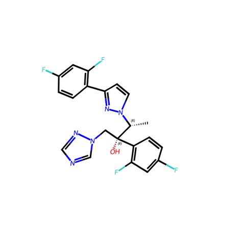 C[C@@H](n1ccc(-c2ccc(F)cc2F)n1)[C@](O)(Cn1cncn1)c1ccc(F)cc1F